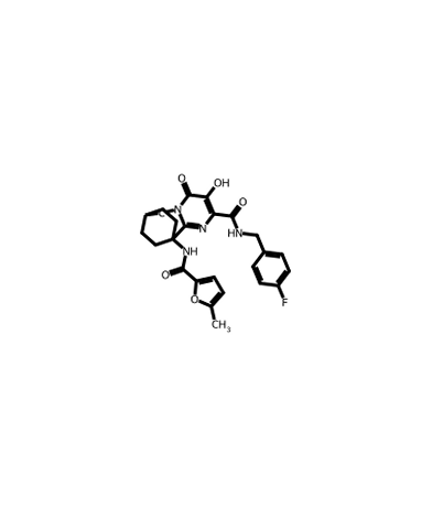 Cc1ccc(C(=O)NC23CCC(CC2)Cn2c3nc(C(=O)NCc3ccc(F)cc3)c(O)c2=O)o1